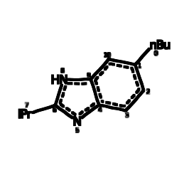 CCCCc1ccc2nc(C(C)C)[nH]c2c1